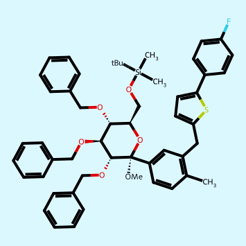 CO[C@@]1(c2ccc(C)c(Cc3ccc(-c4ccc(F)cc4)s3)c2)O[C@H](CO[Si](C)(C)C(C)(C)C)[C@@H](OCc2ccccc2)[C@H](OCc2ccccc2)[C@H]1OCc1ccccc1